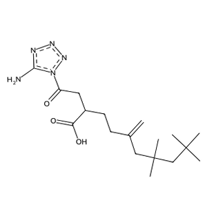 C=C(CCC(CC(=O)n1nnnc1N)C(=O)O)CC(C)(C)CC(C)(C)C